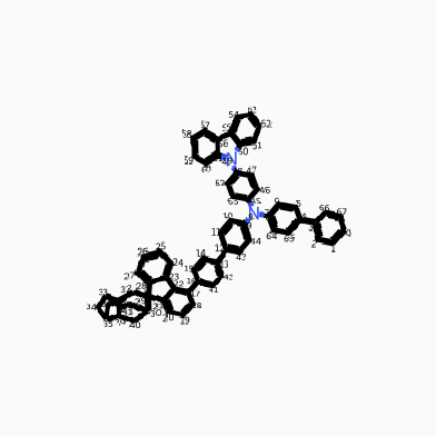 c1ccc(-c2ccc(N(c3ccc(-c4ccc(-c5cccc6c5-c5ccccc5C65C6CCC7CC8CC5C7C8C6)cc4)cc3)c3ccc(-n4c5ccccc5c5ccccc54)cc3)cc2)cc1